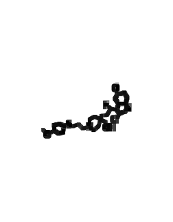 COc1ccc(SCCCN2CCC(CO)(CCC(F)c3c(Cl)cnc4ccc(OC)cc34)CC2)cc1